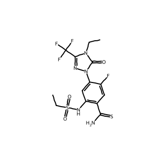 CCn1c(C(F)(F)F)nn(-c2cc(NS(=O)(=O)CC)c(C(N)=S)cc2F)c1=O